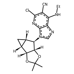 CCNc1c(C#N)c(Cl)nc2c1ncn2[C@@H]1[C@H]2C[C@H]2[C@H]2OC(C)(C)O[C@H]21